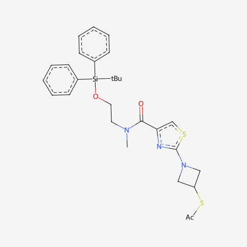 CC(=O)SC1CN(c2nc(C(=O)N(C)CCO[Si](c3ccccc3)(c3ccccc3)C(C)(C)C)cs2)C1